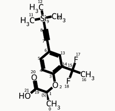 C[C@H](Oc1ccc(C#C[Si](C)(C)C)cc1C(C)(F)F)C(=O)O